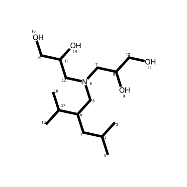 CC(C)CC(CN(CC(O)CO)CC(O)CO)C(C)C